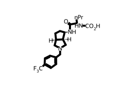 CCCC(NC(=O)O)C(=O)N[C@H]1CC[C@@H]2CN(Cc3ccc(C(F)(F)F)cc3)C[C@@H]21